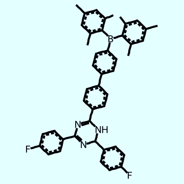 Cc1cc(C)c(B(c2ccc(-c3ccc(C4=NC(c5ccc(F)cc5)=NC(c5ccc(F)cc5)N4)cc3)cc2)c2c(C)cc(C)cc2C)c(C)c1